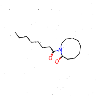 CCCCCCCC(=O)N1CCCCCCCCC1=O